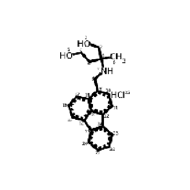 CC(CO)(CCO)NCc1ccc2c3c(cccc13)-c1ccccc1-2.Cl